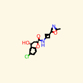 Cc1ncc(C23CC(NC(=O)[C@@H]4C[C@@H](O)c5cc(Cl)ccc5O4)(C2)C3)o1